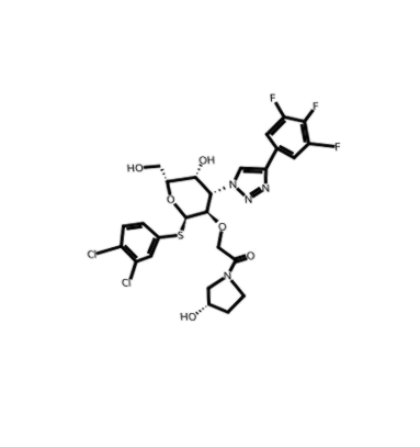 O=C(CO[C@@H]1[C@@H](n2cc(-c3cc(F)c(F)c(F)c3)nn2)[C@@H](O)[C@@H](CO)O[C@@H]1Sc1ccc(Cl)c(Cl)c1)N1CC[C@H](O)C1